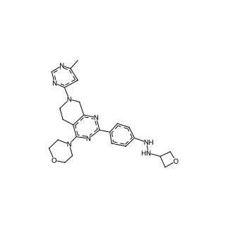 Cc1cc(N2CCc3c(nc(-c4ccc(NNC5COC5)cc4)nc3N3CCOCC3)C2)ncn1